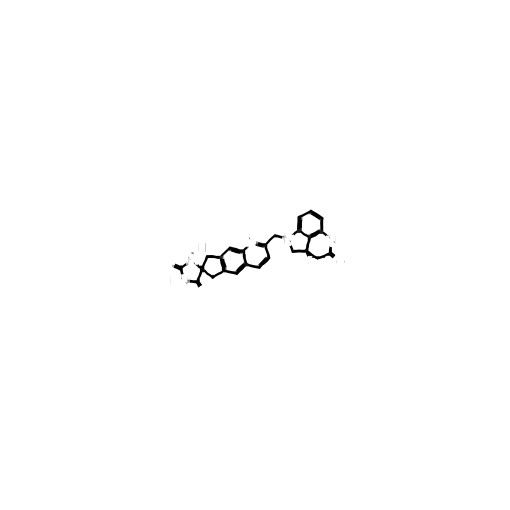 CN1C(=O)NC(=O)C12Cc1cc3ccc(CN4CC5(C)CC(=O)Nc6cccc4c65)nc3cc1C2